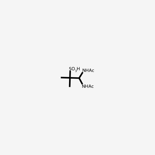 CC(=O)NC(NC(C)=O)C(C)(C)S(=O)(=O)O